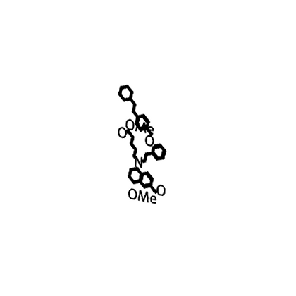 COC(=O)CCCCN(CCc1ccccc1OCc1ccc(CCC2CCCCC2)cc1)C1CCCc2cc(C(=O)OC)ccc21